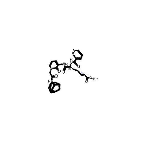 COC(=O)/C=C/CC[C@H](NC(=O)c1cccnn1)C(=O)Nc1cccn(CC(=O)NC2C3CC4CC(C3)C2C4)c1=O